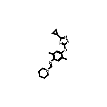 Cc1cc(Oc2nc(C3CC3)ns2)c(C)cc1N=CN1CCCCC1